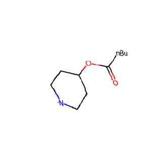 CCCCC(=O)OC1CC[N]CC1